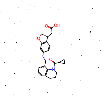 O=C(O)CC1COc2cc(NCc3cccc4c3N(C(=O)C3CC3)CCC4)ccc21